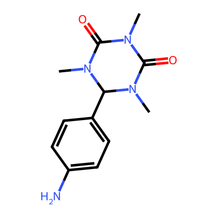 CN1C(=O)N(C)C(c2ccc(N)cc2)N(C)C1=O